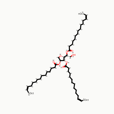 CCCCCCCC/C=C\CCCCCCCCCCCC(=O)O[C@H]1[C@@H]([C@@H](CO)OC(=O)CCCCCCCCCCC/C=C\CCCCCCCC)OC[C@@H]1OC(=O)CCCCCCCCCCC/C=C\CCCCCCCC